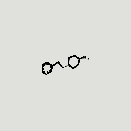 N[C@H]1CC[C@H](OCc2cccnc2)CC1